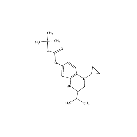 CC(C)C1CN(C2CC2)c2ccc(OC(=O)OC(C)(C)C)cc2N1